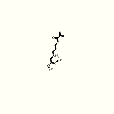 C=C(C)C(=O)OCCC[SiH2]CC(OC(C)C)OC(C)C